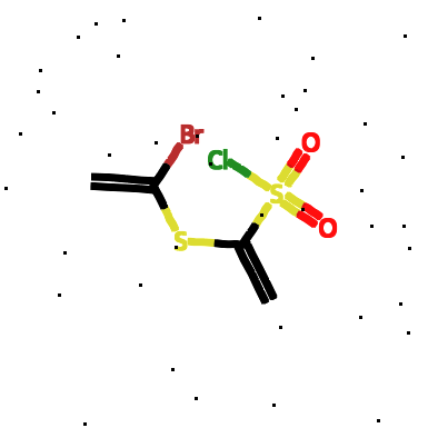 C=C(Br)SC(=C)S(=O)(=O)Cl